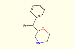 CC(C)C(c1ccccc1)C1CNCCO1